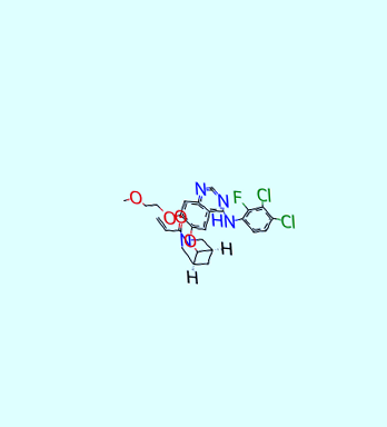 C=CC(=O)N1C[C@H]2C[C@@H](C1)C2Oc1cc2c(Nc3ccc(Cl)c(Cl)c3F)ncnc2cc1OCCOC